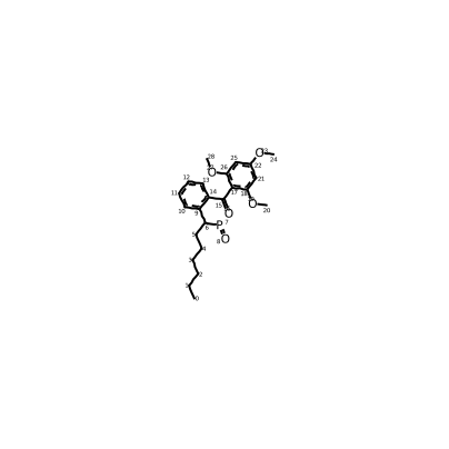 CCCCCCC(P=O)c1ccccc1C(=O)c1c(OC)cc(OC)cc1OC